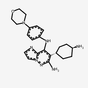 Nc1nn2ccnc2c(Nc2ccc(N3CCOCC3)cc2)c1[C@H]1CC[C@H](N)CC1